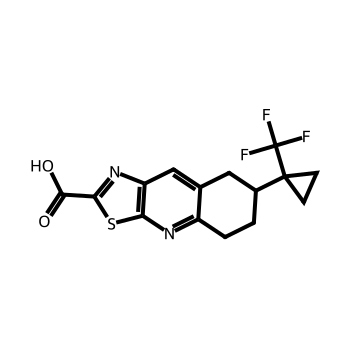 O=C(O)c1nc2cc3c(nc2s1)CCC(C1(C(F)(F)F)CC1)C3